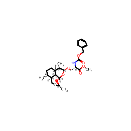 COC(=O)[C@H](CO[C@H]1O[C@@H]2O[C@@]3(C)CC[C@H]4[C@H](C)CC[C@@H]([C@H]1C)[C@@]24OO3)NC(=O)OCc1ccccc1